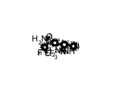 NC(=O)N(c1ccc(-c2ccc(-c3ccncc3)c3[nH]nc(N)c23)cc1)c1ccc(F)c(C(F)(F)F)c1